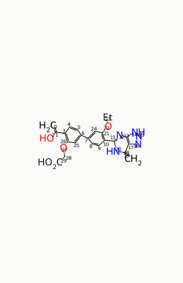 C=C(O)c1ccc(-c2ccc(C3=Nc4[nH]nnc4C(=C)N3)c(OCC)c2)cc1OCC(=O)O